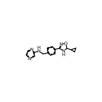 c1cnc(NCc2ccc(C3=NOC(C4CC4)N3)cc2)cn1